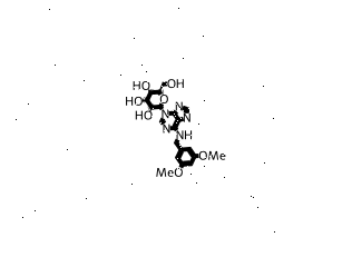 COc1cc(CNc2ncn(C3O[C@H](CO)[C@@H](O)[C@H](O)[C@H]3O)c3ncnc2-3)cc(OC)c1